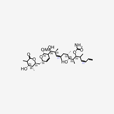 C=C/C=C\C(C)[C@H](OC(N)=O)[C@@H](C)[C@H](O)[C@@H](C)C/C(C)=C\[C@H](C)[C@@H](O)C1C=C[C@H](C[C@@H]2OC(=O)C(C)[C@@H](O)[C@H]2C)O[C@@H]1OC